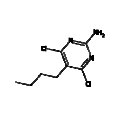 CCCCc1c(Cl)nc(N)nc1Cl